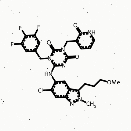 COCCCc1c2cc(Nc3nc(=O)n(Cc4ccc[nH]c4=O)c(=O)n3Cc3cc(F)c(F)c(F)c3)c(Cl)cc2nn1C